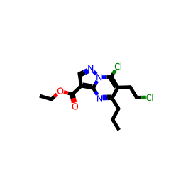 CCCc1nc2c(C(=O)OCC)cnn2c(Cl)c1CCCl